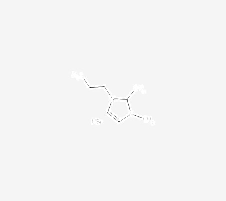 Br.CCCN1C=CN(C)C1C